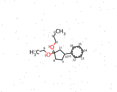 CCCOC1(OCC)CCC(c2ccccc2)C1